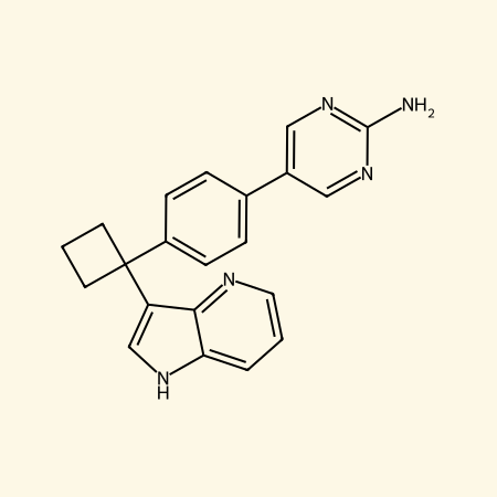 Nc1ncc(-c2ccc(C3(c4c[nH]c5cccnc45)CCC3)cc2)cn1